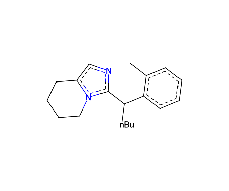 CCCCC(c1ccccc1C)c1ncc2n1CCCC2